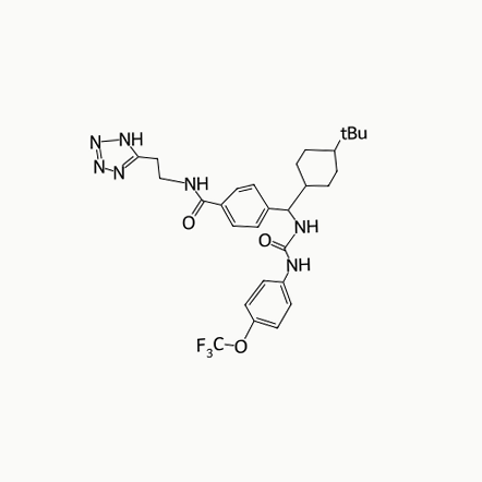 CC(C)(C)C1CCC(C(NC(=O)Nc2ccc(OC(F)(F)F)cc2)c2ccc(C(=O)NCCc3nnn[nH]3)cc2)CC1